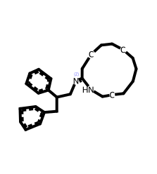 c1ccc(CC(C/N=C2/CCCCCCCCCCCN2)c2ccccc2)cc1